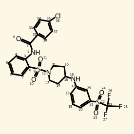 O=C(Nc1ccccc1S(=O)(=O)N1CCC(Nc2cccc(S(=O)(=O)C(F)(F)F)c2)CC1)c1ccc(Cl)cc1